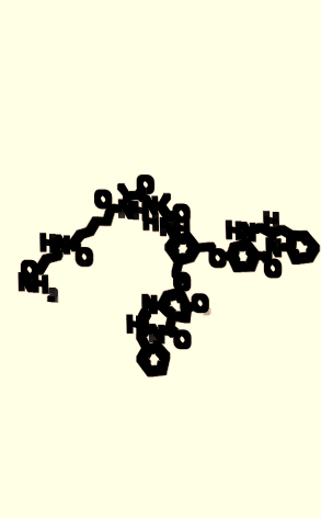 COc1cc2c(cc1OCc1cc(COc3ccc4c(c3)NC[C@@H]3Cc5ccccc5N3C4=O)cc(NC(=O)[C@H](C)NC(=O)[C@H](C)NC(=O)CCCCC(=O)NCCCON)c1)N=C[C@@H]1Cc3ccccc3N1C2=O